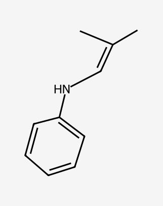 CC(C)=CNc1ccccc1